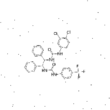 O=C(Nc1ccc(C(F)(F)F)cc1)NC(c1ccccc1)C(NC(=O)Nc1ccc(Cl)c(Cl)c1)c1ccccc1